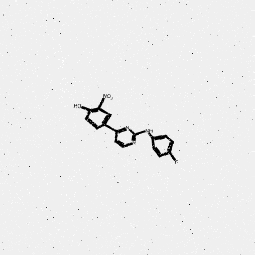 O=[N+]([O-])c1cc(-c2ccnc(Nc3ccc(F)cc3)n2)ccc1O